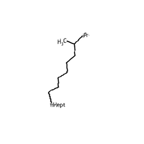 CCCCCCCCCCCCCC(C)[C](C)C